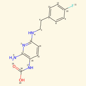 Nc1nc(NCCc2ccc(F)cc2)ccc1NC(=O)O